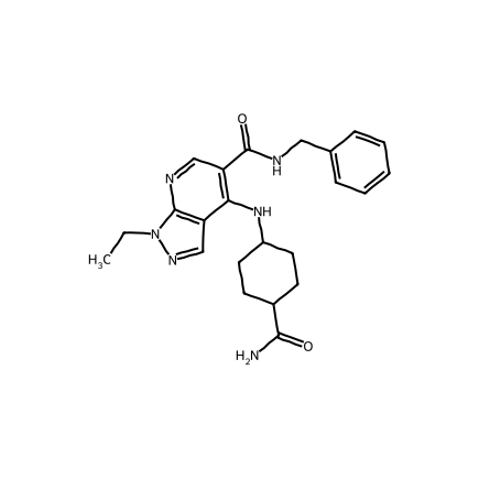 CCn1ncc2c(NC3CCC(C(N)=O)CC3)c(C(=O)NCc3ccccc3)cnc21